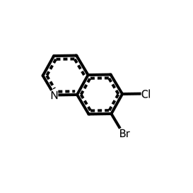 Clc1cc2cccnc2cc1Br